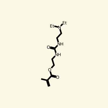 C=C(C)C(=O)OCCNC(=O)NCCN(CC)CC